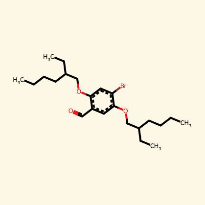 CCCCC(CC)COc1cc(C=O)c(OCC(CC)CCCC)cc1Br